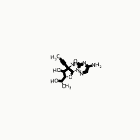 CC#C[C@@]1(N)C(O)[C@@H]([C@H](C)O)O[C@H]1n1ncc(N)nc1=O